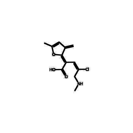 C=c1cc(C)o/c1=C(/C=C(/Cl)CNC)C(=O)O